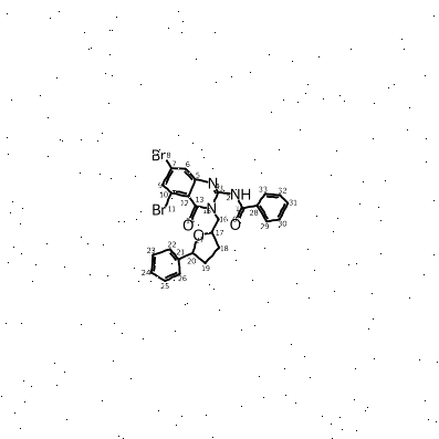 O=C(Nc1nc2cc(Br)cc(Br)c2c(=O)n1CC1CCC(c2ccccc2)O1)c1ccccc1